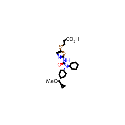 COC(C1CC1)[C@H]1CC[C@H](N(C(=O)Nc2ncc(SCCC(=O)O)s2)C2CCCCC2)CC1